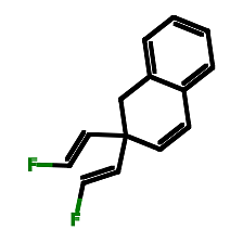 FC=CC1(C=CF)C=Cc2ccccc2C1